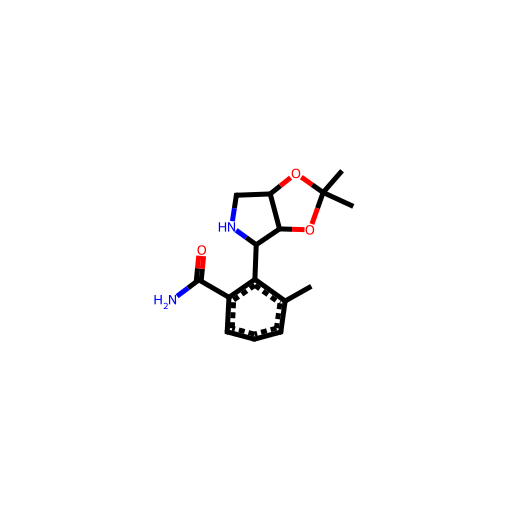 Cc1cccc(C(N)=O)c1C1NCC2OC(C)(C)OC21